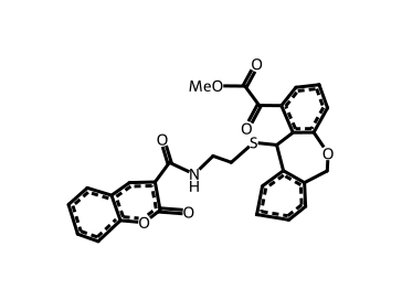 COC(=O)C(=O)c1cccc2c1C(SCCNC(=O)c1cc3ccccc3oc1=O)c1ccccc1CO2